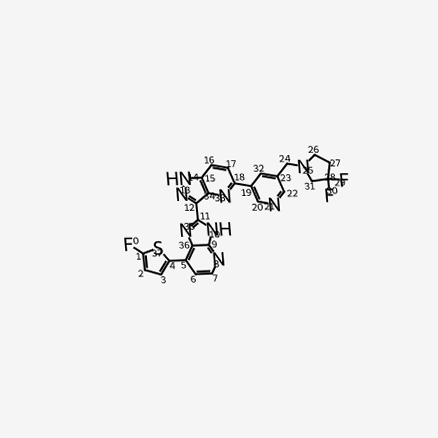 Fc1ccc(-c2ccnc3[nH]c(-c4n[nH]c5ccc(-c6cncc(CN7CCC(F)(F)C7)c6)nc45)nc23)s1